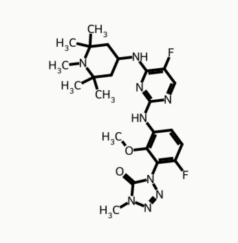 COc1c(Nc2ncc(F)c(NC3CC(C)(C)N(C)C(C)(C)C3)n2)ccc(F)c1-n1nnn(C)c1=O